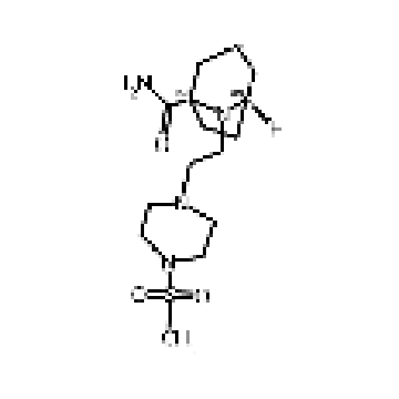 CS(=O)(=O)N1CCN(CCN2[C@@H]3C[CH]C[C@@]2(C(N)=O)CC3)CC1